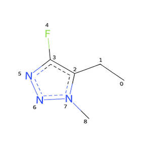 CCc1c(F)nnn1C